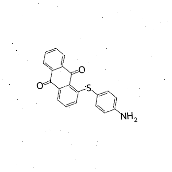 Nc1ccc(Sc2cccc3c2C(=O)c2ccccc2C3=O)cc1